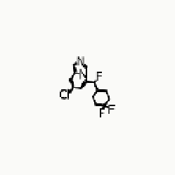 FC(c1cc(Cl)cc2cncn12)C1CCC(F)(F)CC1